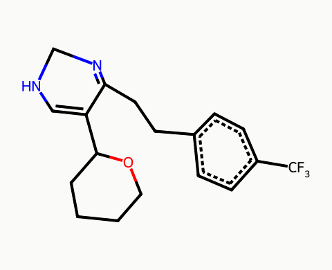 FC(F)(F)c1ccc(CCC2=NCNC=C2C2CCCCO2)cc1